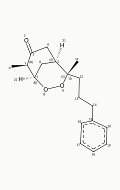 C[C@H]1C(=O)C[C@@H]2C[C@H]1OO[C@@]2(C)CCCc1ccccc1